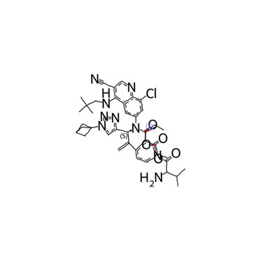 C=C(c1ccn(C)c(=O)c1/C=C\C)[C@@H](c1cn(C23CC(C2)C3)nn1)N(C(=O)OCOC(=O)C(N)C(C)C)c1cc(Cl)c2ncc(C#N)c(NCC(C)(C)C)c2c1